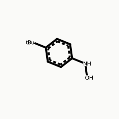 CC(C)(C)c1ccc(NO)cc1